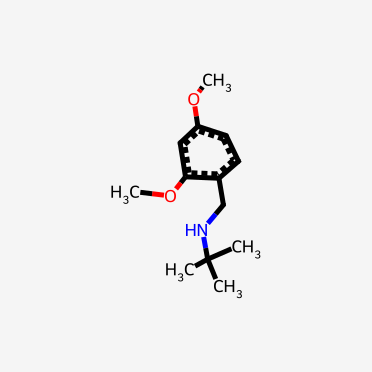 COc1ccc(CNC(C)(C)C)c(OC)c1